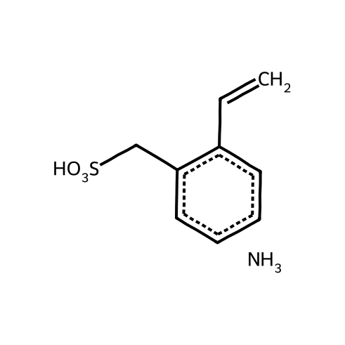 C=Cc1ccccc1CS(=O)(=O)O.N